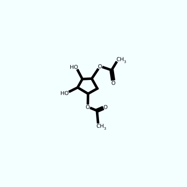 CC(=O)OC1CC(OC(C)=O)C(O)C1O